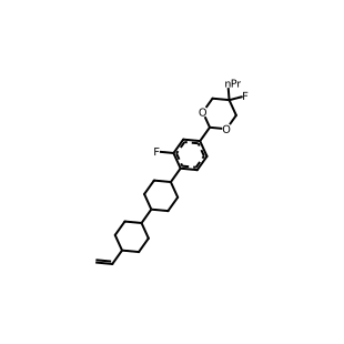 C=CC1CCC(C2CCC(c3ccc(C4OCC(F)(CCC)CO4)cc3F)CC2)CC1